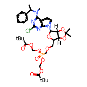 CC(c1ccccc1)N(C)c1nc(Cl)nc2c1ccn2[C@@H]1O[C@H](COCP(=O)(OCOC(=O)C(C)(C)C)OCOC(=O)C(C)(C)C)[C@H]2OC(C)(C)O[C@H]21